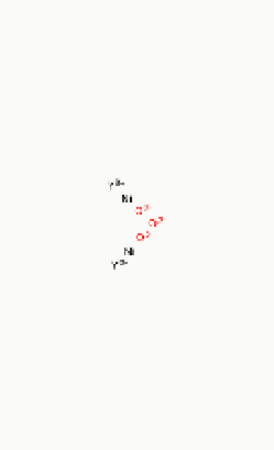 [Ni].[Ni].[O-2].[O-2].[O-2].[Y+3].[Y+3]